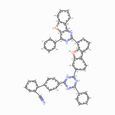 N#Cc1ccccc1-c1ccc(-c2nc(-c3ccccc3)nc(-c3ccc4c(c3)oc3c(-c5nc(-c6ccccc6)c6sc7ccccc7c6n5)cccc34)n2)cc1